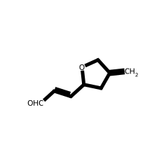 C=C1COC(/C=C/C=O)C1